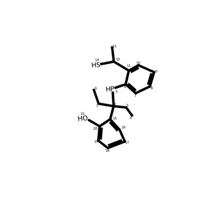 CCC(CC)(Pc1ccccc1C(C)S)c1ccccc1O